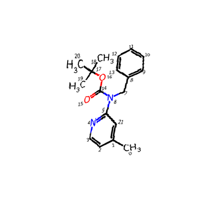 Cc1ccnc(N(Cc2ccccc2)C(=O)OC(C)(C)C)c1